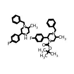 CC1CN(C(=O)OC(C)(C)C)C(c2ccc(F)cc2)CN1Cc1ccccc1.CC1CNC(c2ccc(F)cc2)CN1Cc1ccccc1